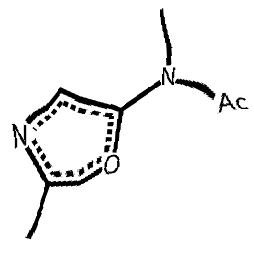 CC(=O)N(C)c1cnc(C)o1